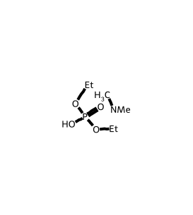 CCOP(=O)(O)OCC.CNC